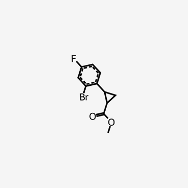 COC(=O)C1CC1c1ccc(F)cc1Br